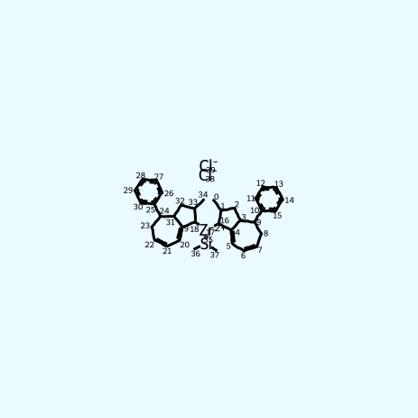 CC1CC2C(=CC=CCC2c2ccccc2)[CH]1[Zr+2]([CH]1C2=CC=CCC(c3ccccc3)C2CC1C)=[Si](C)C.[Cl-].[Cl-]